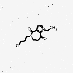 CCn1ccc2c1C(=O)CCN(CCCCl)C2=O